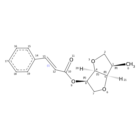 C[C@@H]1CO[C@H]2[C@@H]1OC[C@H]2OC(=O)/C=C/c1ccccc1